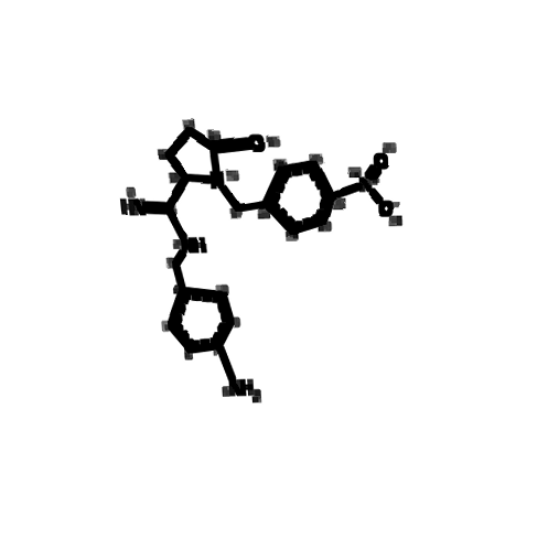 N=C(NCc1ccc(N)cc1)C1CCC(=O)N1Cc1ccc([N+](=O)[O-])cc1